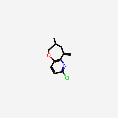 C=C1CC(C)COc2ccc(Cl)nc21